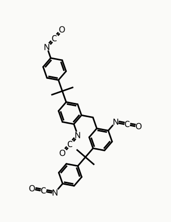 CC(C)(c1ccc(N=C=O)cc1)c1ccc(N=C=O)c(Cc2cc(C(C)(C)c3ccc(N=C=O)cc3)ccc2N=C=O)c1